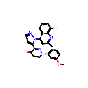 COc1cccc(-n2ccc(=O)c(-c3ccnn3-c3cc(C)nc4c(F)cccc34)n2)c1